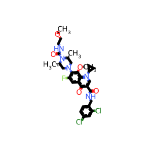 COCCNC(=O)N1[C@H](C)CN(c2c(F)cc3c(=O)c(C(=O)NCc4ccc(Cl)cc4Cl)cn(C4CC4)c3c2OC)C[C@@H]1C